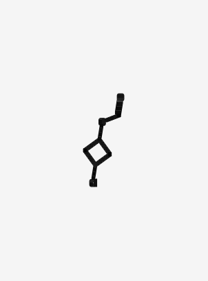 O=COC1CC(Cl)C1